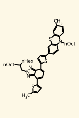 CCCCCCCCC(CCCCCC)Cn1nc2c(-c3ccc(C)s3)ccc(-c3ccc(-c4ccc5c(c4)Sc4cc(C)ccc4N5CCCCCCCC)s3)c2n1